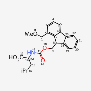 COCc1cccc2c1C(COC(=O)N[C@@H](CC(C)C)C(=O)O)c1ccccc1-2